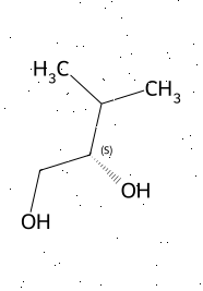 CC(C)[C@H](O)CO